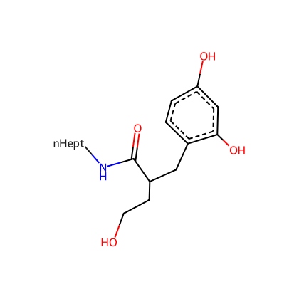 CCCCCCCNC(=O)C(CCO)Cc1ccc(O)cc1O